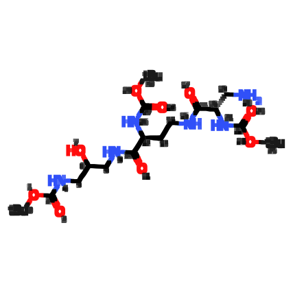 CC(C)(C)OC(=O)NCC(O)CNC(=O)[C@H](CCNC(=O)[C@H](CN)NC(=O)OC(C)(C)C)NC(=O)OC(C)(C)C